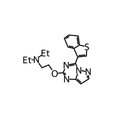 CCN(CC)CCOc1nc(-c2csc3ccccc23)n2nccc2n1